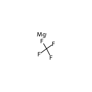 FC(F)(F)F.[Mg]